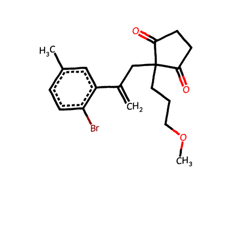 C=C(CC1(CCCOC)C(=O)CCC1=O)c1cc(C)ccc1Br